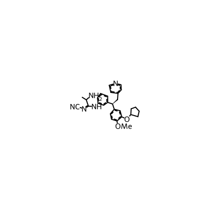 COc1ccc([C@H](Cc2ccncc2)c2cccc(N/C(=N/C#N)C(C)N)c2)cc1OC1CCCC1